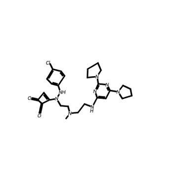 CN(CCNc1cc(N2CCCC2)nc(N2CCCC2)n1)CCN(Nc1ccc(Cl)cc1)c1cc(=O)c1=O